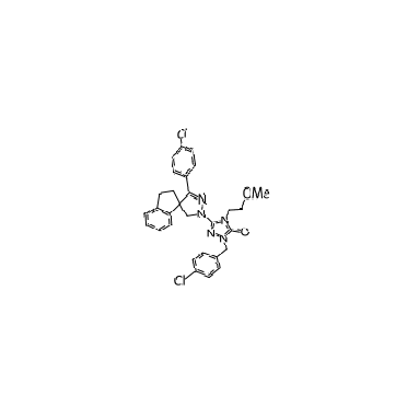 COCCn1c(N2CC3(CCc4ccccc43)C(c3ccc(Cl)cc3)=N2)nn(Cc2ccc(Cl)cc2)c1=O